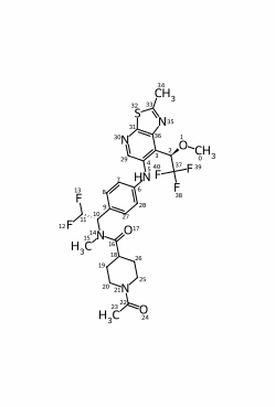 CO[C@H](c1c(Nc2ccc([C@@H](C(F)F)N(C)C(=O)C3CCN(C(C)=O)CC3)cc2)cnc2sc(C)nc12)C(F)(F)F